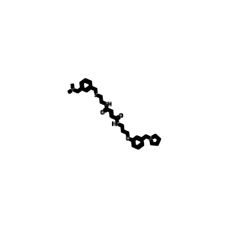 CN(C)Cc1cccc(CSCCNC(=O)C=CC(=O)NCCCOc2cccc(CN3CCCC3)c2)c1